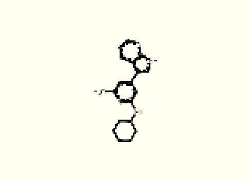 Cc1cc(-c2c[nH]c3ncccc23)cc(NC2CCCCC2)n1